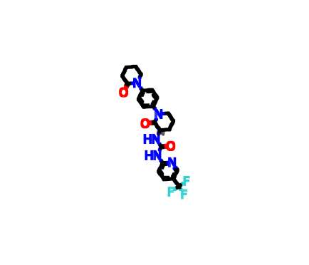 O=C(Nc1ccc(C(F)(F)F)cn1)N[C@@H]1CCCN(c2ccc(N3CCCCC3=O)cc2)C1=O